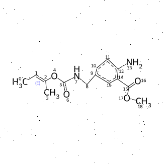 C/C=C(\C)OC(=O)NCc1ccc(N)c(C(=O)OC)c1